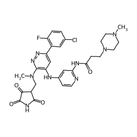 CN1CCN(CCC(=O)Nc2cc(Nc3cc(-c4cc(Cl)ccc4F)nnc3N(C)CC3C(=O)NC(=O)C3=O)ccn2)CC1